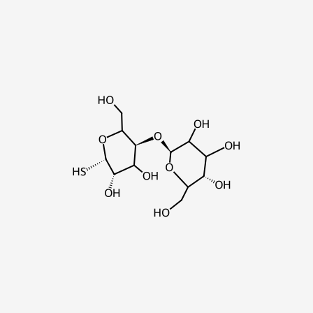 OCC1O[C@@H](O[C@@H]2C(CO)O[C@@H](S)[C@@H](O)C2O)C(O)C(O)[C@@H]1O